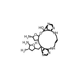 NC1C[C@@H]2CC3(CC4C[C@@H](P)C(N)O4)c4ncnc(c43)NC/C=C/CNc3ncnc4c3C4(O)OC2O1